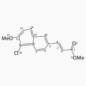 COC(=O)/C=C/c1ccc2c(Cl)c(OC)ccc2c1